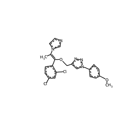 COc1ccc(-n2cc(CO/C(=C(/C)n3ccnc3)c3ccc(Cl)cc3Cl)nn2)cc1